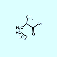 CC(C)C(=O)O.O=C(O)O